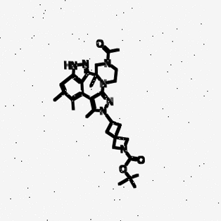 CC(=O)N1CCN(c2nn(C3CC4(C3)CN(C(=O)OC(C)(C)C)C4)c(C)c2-c2c(C)c(C)cc3[nH]ncc23)C(C)(C)C1